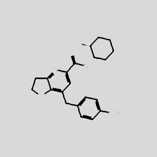 COc1ccc(Cc2cc(C(=O)N[C@H]3CCCC[C@@H]3O)nc3c2OCC3)cc1